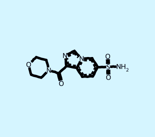 NS(=O)(=O)c1ccc2c(C(=O)N3CCOCC3)ncn2c1